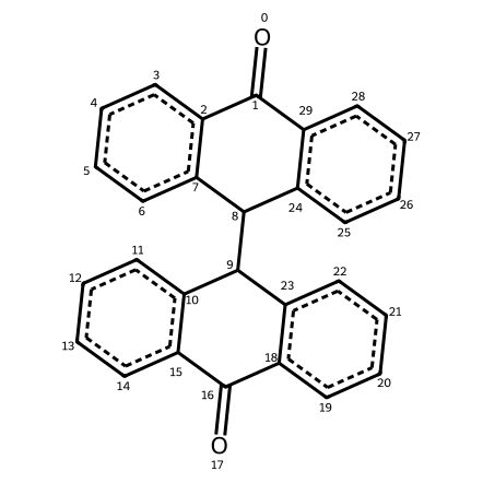 O=C1c2ccccc2C(C2c3ccccc3C(=O)c3ccccc32)c2ccccc21